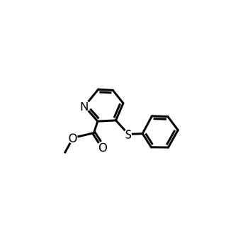 COC(=O)c1ncccc1Sc1ccccc1